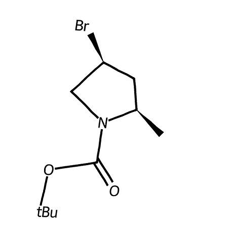 C[C@@H]1C[C@H](Br)CN1C(=O)OC(C)(C)C